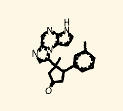 Cc1cccc(C2CC(=O)CC2(C)c2cnc3cnc4[nH]ccc4n23)c1